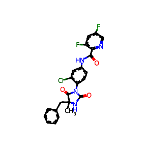 CC1(Cc2ccccc2)NC(=O)N(c2ccc(NC(=O)c3ncc(F)cc3F)cc2Cl)C1=O